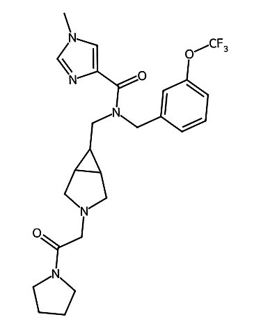 Cn1cnc(C(=O)N(Cc2cccc(OC(F)(F)F)c2)CC2C3CN(CC(=O)N4CCCC4)CC32)c1